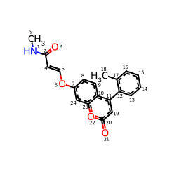 CNC(=O)C=COc1ccc2c(-c3ccccc3C)cc(=O)oc2c1